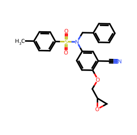 Cc1ccc(S(=O)(=O)N(Cc2ccccc2)c2ccc(OCC3CO3)c(C#N)c2)cc1